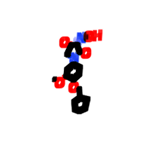 COc1cc(N2CC(=O)/C(=N/O)C2=O)ccc1OCc1ccccc1